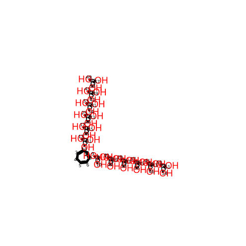 C1=CC=CCC=C1.OB(O)O.OB(O)O.OB(O)O.OB(O)O.OB(O)O.OB(O)O.OB(O)O.OB(O)O.OB(O)O.OB(O)O.OB(O)O.OB(O)O